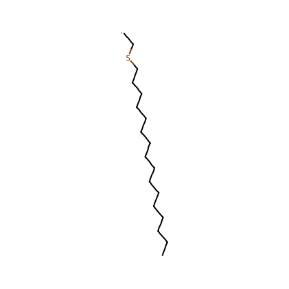 [CH2]CSCCCCCCCCCCCCCCCC